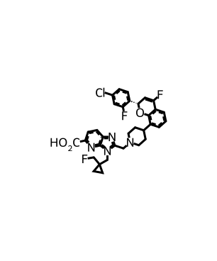 O=C(O)c1ccc2nc(CN3CCC(c4cccc5c4O[C@H](c4ccc(Cl)cc4F)C=C5F)CC3)n(CC3(CF)CC3)c2n1